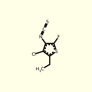 CCc1sc(F)c(N=C=S)c1Cl